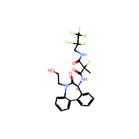 CC(F)(C(=O)NCC(F)(F)C(F)(F)F)C(=O)N[C@@H]1C(=O)N(CCO)c2ccccc2-c2ccccc21